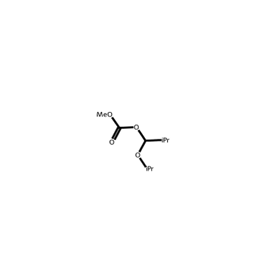 COC(=O)OC(OC(C)C)C(C)C